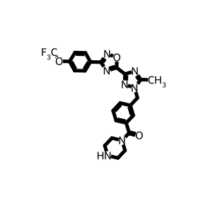 Cc1nc(-c2nc(-c3ccc(OC(F)(F)F)cc3)no2)nn1Cc1cccc(C(=O)N2CCNCC2)c1